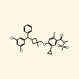 CN(C(=O)c1cc(C2CC2)c(OCC2(C)CN(C(c3ccccc3)c3cc(Cl)cc(Cl)c3)C2)cc1F)S(C)(=O)=O